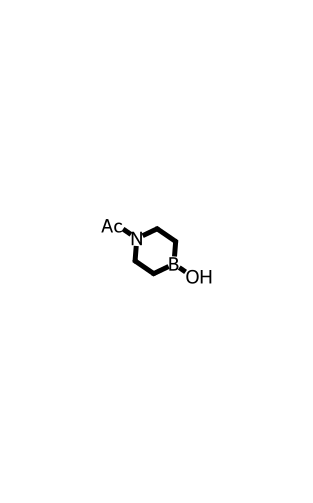 CC(=O)N1CCB(O)CC1